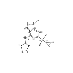 Cc1cnn2c(NC3CCCC3)cc(C(C)(C)C3CC3)nc12